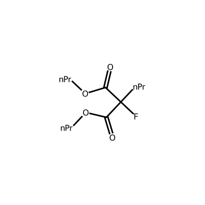 CCCOC(=O)C(F)(CCC)C(=O)OCCC